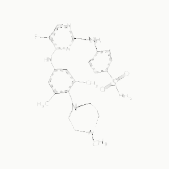 Cc1cc(Nc2nc(Nc3ccc(S(N)(=O)=O)cc3)ncc2F)cc(C)c1N1CCN(C)CC1